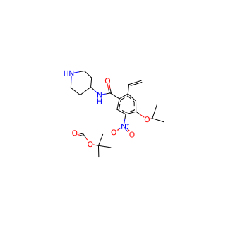 C=Cc1cc(OC(C)C)c([N+](=O)[O-])cc1C(=O)NC1CCNCC1.CC(C)(C)OC=O